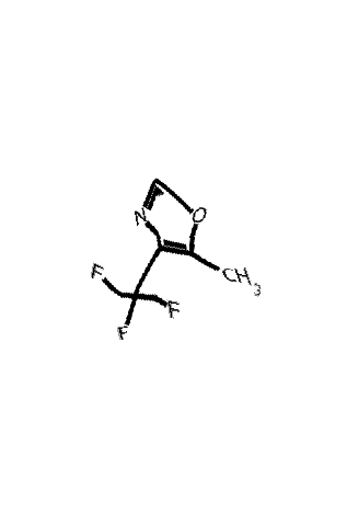 Cc1ocnc1C(F)(F)F